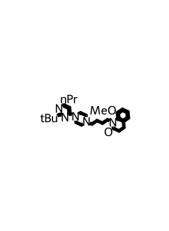 CCCc1cc(N2CCN(CCCCN3C(=O)CCc4cccc(OC)c43)CC2)nc(C(C)(C)C)n1